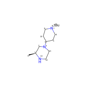 C[C@H]1CN(C2CCN(C(C)(C)C)CC2)CCN1